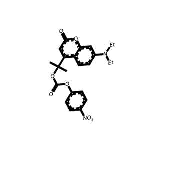 CCN(CC)c1ccc2c(C(C)(C)OC(=O)Oc3ccc([N+](=O)[O-])cc3)cc(=O)oc2c1